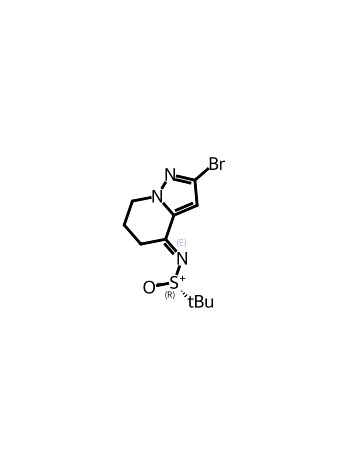 CC(C)(C)[S@+]([O-])/N=C1\CCCn2nc(Br)cc21